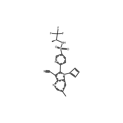 Cc1cnc2c(C#N)c(-c3ccc(S(=O)(=O)N[C@@H](C)C(F)(F)F)cn3)n(C3=CC=C3)c2c1